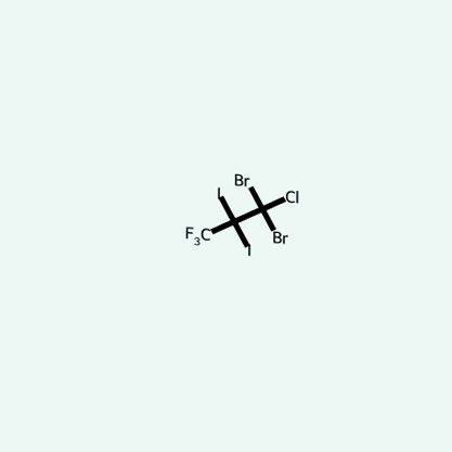 FC(F)(F)C(I)(I)C(Cl)(Br)Br